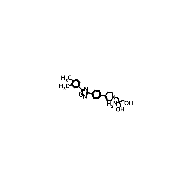 Cc1ccc(-c2nc(-c3ccc(C4=CCN(CC(N)(CO)CO)CC4)cc3)no2)cc1C